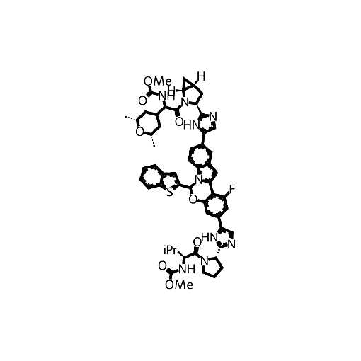 COC(=O)NC(C(=O)N1[C@@H]2C[C@@H]2C[C@H]1c1ncc(-c2ccc3c(c2)cc2n3C(c3cc4ccccc4s3)Oc3cc(-c4cnc([C@@H]5CCCN5C(=O)[C@@H](NC(=O)OC)C(C)C)[nH]4)cc(F)c3-2)[nH]1)C1C[C@@H](C)O[C@@H](C)C1